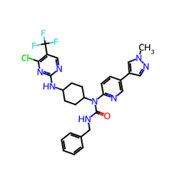 Cn1cc(-c2ccc(N(C(=O)NCc3ccccc3)C3CCC(Nc4ncc(C(F)(F)F)c(Cl)n4)CC3)nc2)cn1